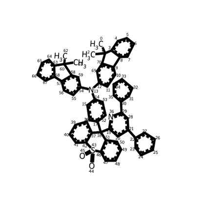 CC1(C)c2ccccc2-c2ccc(N(c3ccc(C4(c5cc(-c6ccccc6)cc(-c6ccccc6)n5)c5ccccc5S(=O)(=O)c5ccccc54)cc3)c3ccc4c(c3)C(C)(C)c3ccccc3-4)cc21